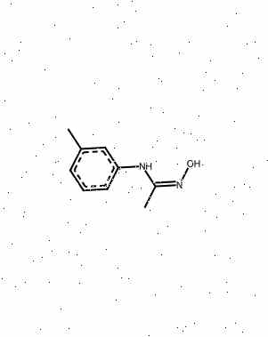 C/C(=N/O)Nc1cccc(C)c1